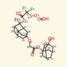 CCC1(OC(=O)C(F)(F)SOOO)C2CC3CC1CC(OCC(=O)OC14CC5CC(CC(O)(C5)C1)C4)(C3)C2